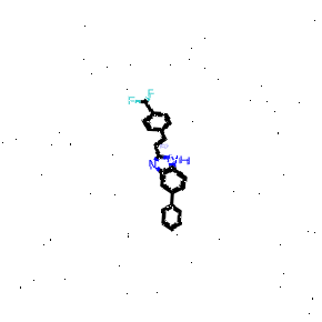 FC(F)c1ccc(/C=C/c2nc3cc(-c4ccccc4)ccc3[nH]2)cc1